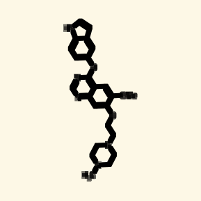 COc1cc2c(Oc3ccc4[nH]ccc4c3)ncnc2cc1OCCN1CCN(C)CC1